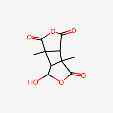 CC12C(=O)OC(=O)C1C1(C)C(=O)OC(O)C21